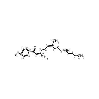 C=CCCNCCCC(C)=CCCC(C)=CC(=O)c1ccc(Br)cc1